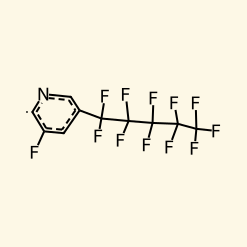 Fc1[c]ncc(C(F)(F)C(F)(F)C(F)(F)C(F)(F)C(F)(F)F)c1